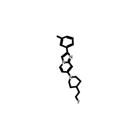 Cc1cccc(-c2cn3ccc(N4CCC(CCF)CC4)cc3n2)c1